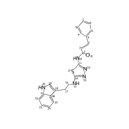 O=C(C=Cc1ccccc1)Nc1nnc(NCCc2c[nH]c3ccccc23)s1